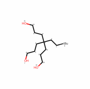 CC(C)(C)CCC(CCCO)(CCCO)CCCO